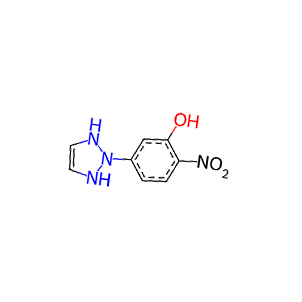 O=[N+]([O-])c1ccc(N2NC=CN2)cc1O